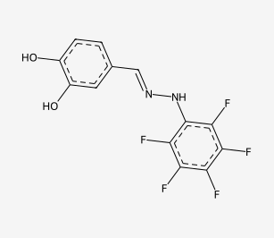 Oc1ccc(C=NNc2c(F)c(F)c(F)c(F)c2F)cc1O